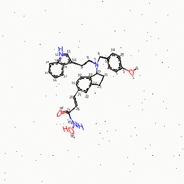 COc1ccc(CN(CCc2c[nH]c3ccccc23)C2CCc3cc(C=CC(=O)NO)ccc32)cc1